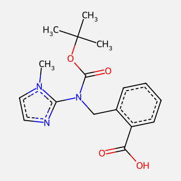 Cn1ccnc1N(Cc1ccccc1C(=O)O)C(=O)OC(C)(C)C